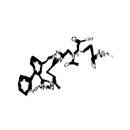 CCCCc1nc(CN(C(C)=O)[C@@H](CCC(N)=O)C(=O)O)nn1Cc1ccc(-c2ccccc2)c(-c2nnn[nH]2)c1